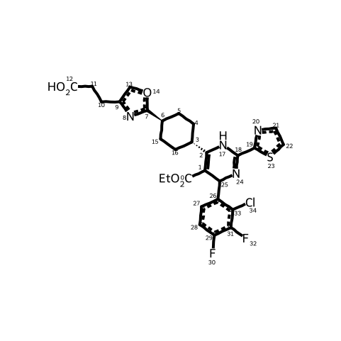 CCOC(=O)C1=C([C@H]2CC[C@H](c3nc(CCC(=O)O)co3)CC2)NC(c2nccs2)=NC1c1ccc(F)c(F)c1Cl